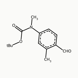 Cc1cc(N(C)C(=O)OC(C)(C)C)ccc1C=O